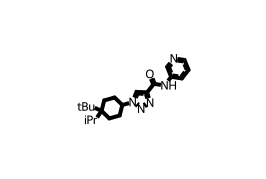 CC(C)C1(C(C)(C)C)CCC(n2cc(C(=O)Nc3cccnc3)nn2)CC1